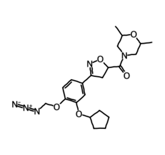 CC1CN(C(=O)C2CC(c3ccc(OCN=[N+]=[N-])c(OC4CCCC4)c3)=NO2)CC(C)O1